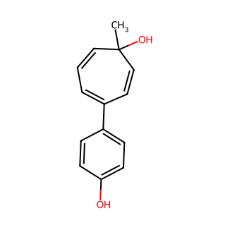 CC1(O)C=CC=C(c2ccc(O)cc2)C=C1